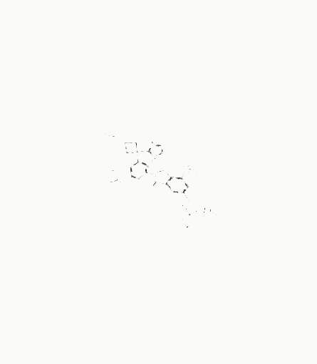 CO[C@H]1C[C@@](c2cc(OC3COC3)cc(N3Cc4c(cc(CNC5(C)CCC5)cc4C(F)(F)F)C3=O)c2)(c2nncn2C)C1